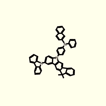 CC1(C)c2ccccc2-c2cc3c(cc21)c1cc(-n2c4ccccc4c4ccccc42)ccc1n3-c1ccc(N(c2ccccc2)c2ccc3ccccc3c2)cc1